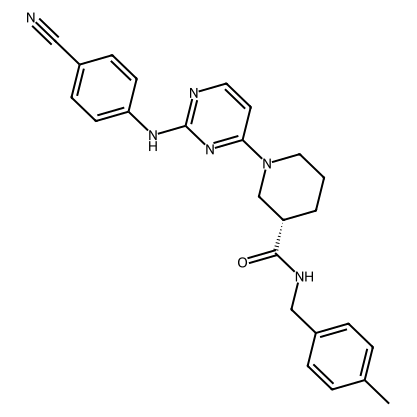 Cc1ccc(CNC(=O)[C@H]2CCCN(c3ccnc(Nc4ccc(C#N)cc4)n3)C2)cc1